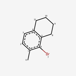 Cc1ccc2c(c1Br)CCCC2